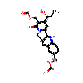 CC[C@H](O)c1cc2n(c(=O)c1COC=O)Cc1cc3cc(BOC=O)ccc3nc1-2